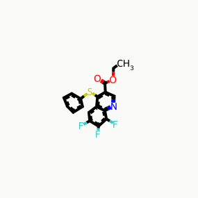 CCOC(=O)c1cnc2c(F)c(F)c(F)cc2c1Sc1ccccc1